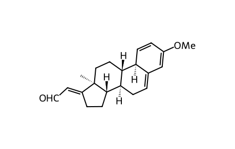 COC1=CC2=CC[C@@H]3[C@H](CC[C@]4(C)C(=CC=O)CC[C@@H]34)[C@H]2C=C1